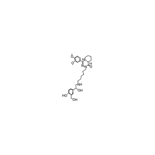 COc1ccc(C2=NN(CCCCCCNCC(O)c3ccc(O)c(CO)c3)C(=O)[C@@H]3CCCC[C@H]23)cc1OC